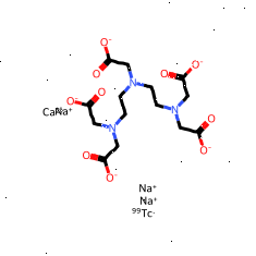 O=C([O-])CN(CCN(CC(=O)[O-])CC(=O)[O-])CCN(CC(=O)[O-])CC(=O)[O-].[99Tc].[Ca+2].[Na+].[Na+].[Na+]